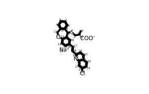 C[C@@H](CSC1c2ccccc2COc2ccc(/C=C/c3ccc4ccc(Cl)cc4n3)cc21)C(=O)[O-].[Na+]